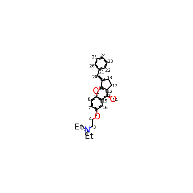 CCN(CC)CCOc1ccc2oc3c(c(=O)c2c1)CCC3=Cc1ccccc1